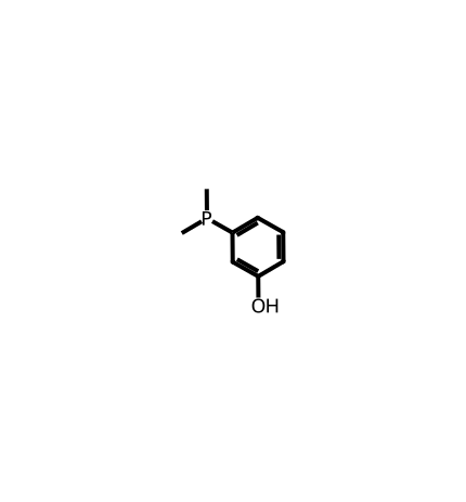 CP(C)c1cccc(O)c1